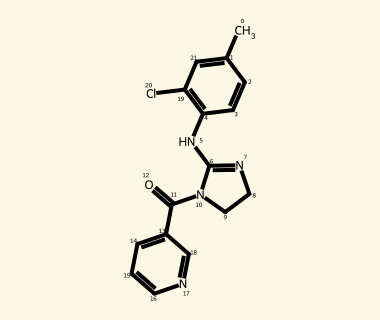 Cc1ccc(NC2=NCCN2C(=O)c2cccnc2)c(Cl)c1